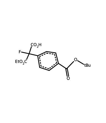 CCOC(=O)C(F)(C(=O)O)c1ccc(C(=O)OC(C)(C)C)cc1